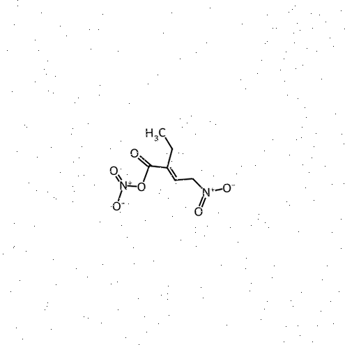 CC/C(=C\C[N+](=O)[O-])C(=O)O[N+](=O)[O-]